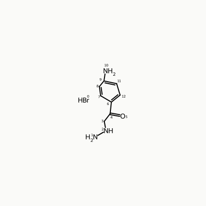 Br.NNCC(=O)c1ccc(N)cc1